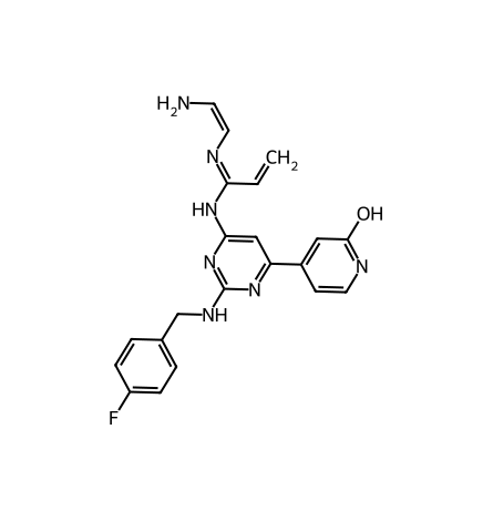 C=C/C(=N\C=C/N)Nc1cc(-c2ccnc(O)c2)nc(NCc2ccc(F)cc2)n1